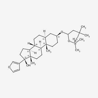 C[SiH](C)OC(CC(C)(C)C)O[C@H]1CC[C@@]2(C)[C@@H](CC[C@@H]3[C@@H]2CC[C@@]2(C)[C@H]3CC[C@@]2(O)c2ccoc2)C1